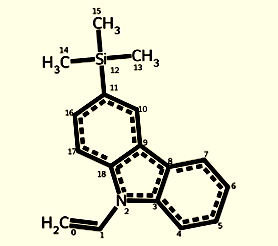 C=Cn1c2ccccc2c2cc([Si](C)(C)C)ccc21